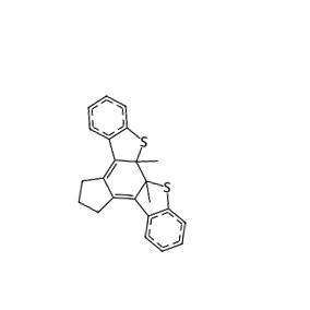 CC12Sc3ccccc3C1=C1CCCC1=C1c3ccccc3SC12C